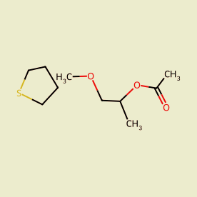 C1CCSC1.COCC(C)OC(C)=O